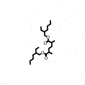 CCCCC(CC)COC(=O)C(C)CCC(C)C(=O)OCC(CC)CCCC